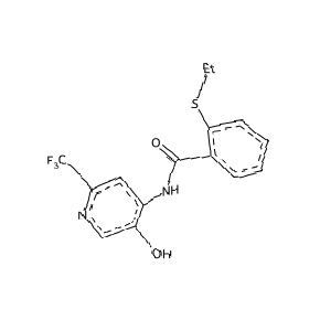 CCSc1ccccc1C(=O)Nc1cc(C(F)(F)F)ncc1O